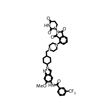 COc1cc2nn(C3CCC(CN4CCN(c5cccc6c5C(=O)N(N5CCC(=O)NC5=O)C6=O)CC4)CC3)cc2cc1NC(=O)c1cccc(C(F)(F)F)c1